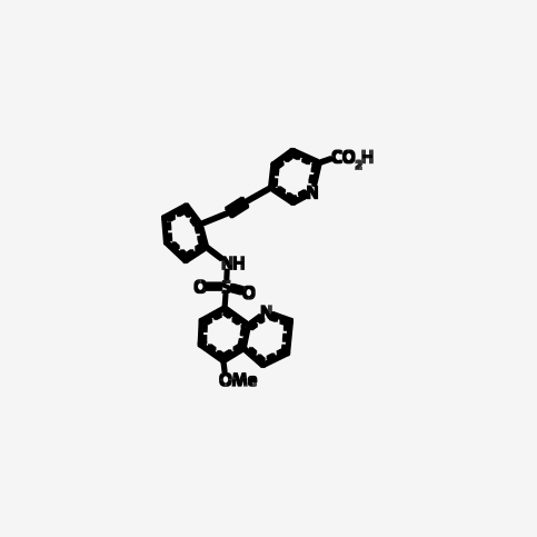 COc1ccc(S(=O)(=O)Nc2ccccc2C#Cc2ccc(C(=O)O)nc2)c2ncccc12